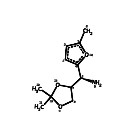 Cc1ccc([C@@H](N)C2COC(C)(C)O2)o1